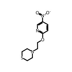 O=[N+]([O-])c1ccc(OCCN2CCSCC2)nc1